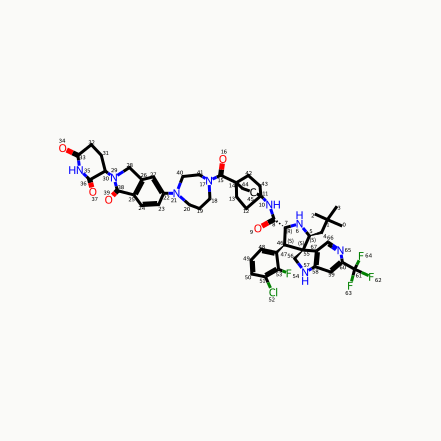 CC(C)(C)C[C@@H]1N[C@@H](C(=O)NC23CCC(C(=O)N4CCCN(c5ccc6c(c5)CN(C5CCC(=O)NC5=O)C6=O)CC4)(CC2)CC3)[C@H](c2cccc(Cl)c2F)[C@]12CNc1cc(C(F)(F)F)ncc12